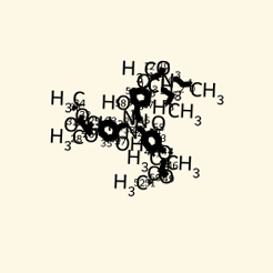 CCCCN(CCCC)C(=O)C(C)(C)Oc1ccc(-c2nc(-c3ccc(OC(C)(C)C(=O)OCC)cc3O)nc(-c3ccc(OC(C)(C)C(=O)OCC)cc3O)n2)c(O)c1